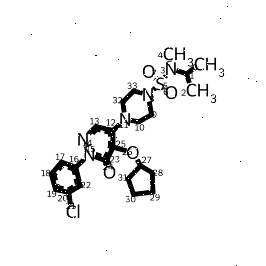 CC(C)N(C)S(=O)(=O)N1CCN(c2cnn(-c3cccc(Cl)c3)c(=O)c2OC2CCCC2)CC1